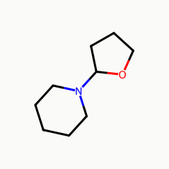 C1CCN(C2CCCO2)CC1